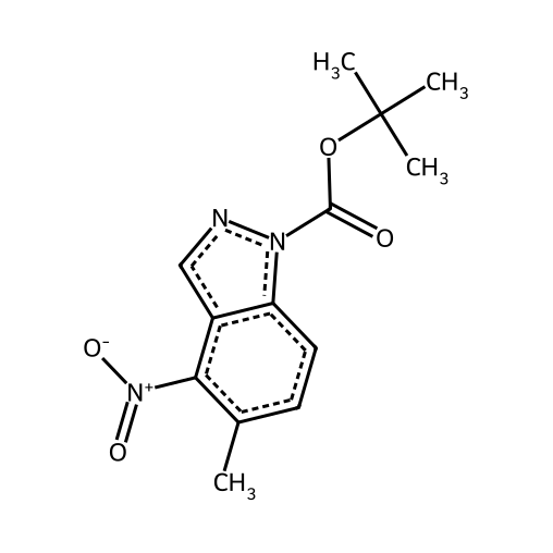 Cc1ccc2c(cnn2C(=O)OC(C)(C)C)c1[N+](=O)[O-]